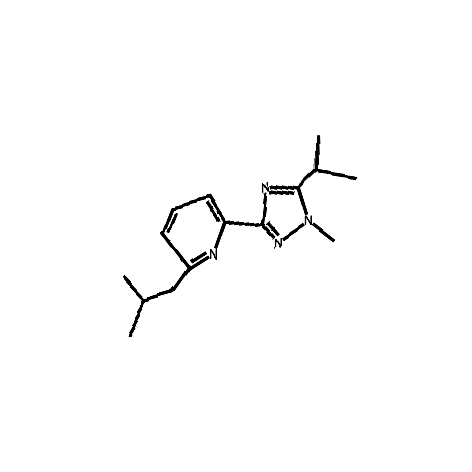 CC(C)Cc1cccc(-c2nc(C(C)C)n(C)n2)n1